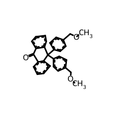 COCc1ccc(C2(c3ccc(COC)cc3)c3ccccc3C(=O)c3ccccc32)cc1